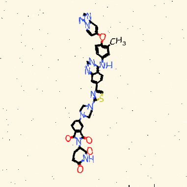 Cc1cc(Nc2ncnc3cc(-c4csc(N5CCN(c6ccc7c(c6)C(=O)N(C6CCC(=O)NC6=O)C7=O)CC5)n4)ccc23)ccc1Oc1ccn2ncnc2c1